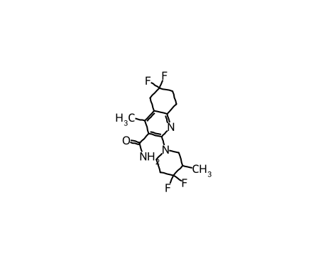 Cc1c2c(nc(N3CCC(F)(F)C(C)C3)c1C(N)=O)CCC(F)(F)C2